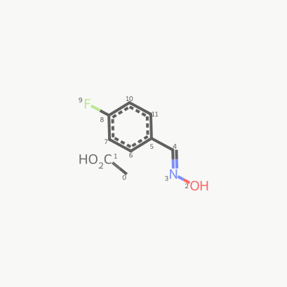 CC(=O)O.ON=Cc1ccc(F)cc1